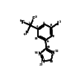 FC(F)(F)c1cc(I)cc(C2=NCN=N2)c1